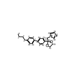 CCCCc1ccc(-c2ccc(C3(Cn4ccnc4)OCCO3)cc2)cc1